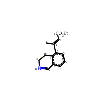 CCOC(=O)/C=C(\C)c1cccc2c1CCN=C2